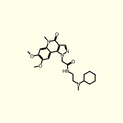 COc1cc2c3c(cnn3CC(=O)NCCN(C)C3CCCCC3)c(=O)n(C)c2cc1OC